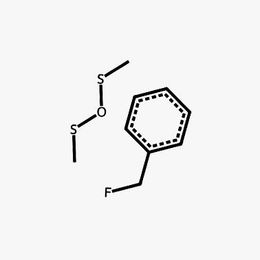 CSOSC.FCc1ccccc1